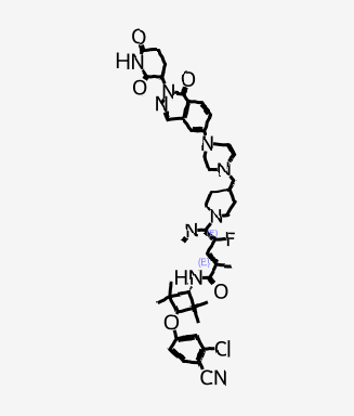 C=N/C(=C(F)\C=C(/C)C(=O)N[C@H]1C(C)(C)[C@H](Oc2ccc(C#N)c(Cl)c2)C1(C)C)N1CCC(CN2CCN(c3ccc4c(=O)n(C5CCC(=O)NC5=O)ncc4c3)CC2)CC1